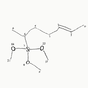 CC=CCCC(C)[Si](OC)(OC)OC